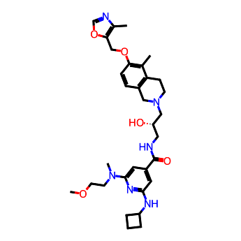 COCCN(C)c1cc(C(=O)NC[C@H](O)CN2CCc3c(ccc(OCc4ocnc4C)c3C)C2)cc(NC2CCC2)n1